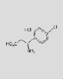 Cl.N[C@@H](CC(=O)O)c1ccc(Cl)cc1